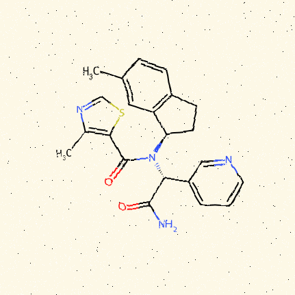 Cc1ccc2c(c1)[C@H](N(C(=O)c1scnc1C)[C@@H](C(N)=O)c1cccnc1)CC2